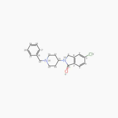 O=C1c2ccc(Cl)cc2CN1C1CCN(Cc2ccccc2)CC1